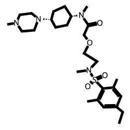 CCc1cc(C)c(S(=O)(=O)N(C)CCOCC(=O)N(C)[C@H]2CC[C@@H](N3CCN(C)CC3)CC2)c(C)c1